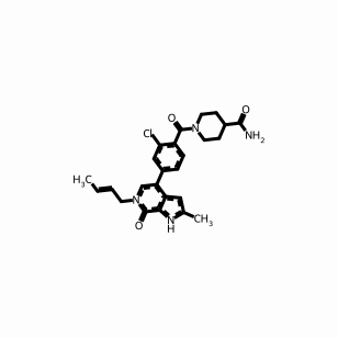 CC=CCn1cc(-c2ccc(C(=O)N3CCC(C(N)=O)CC3)c(Cl)c2)c2cc(C)[nH]c2c1=O